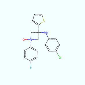 [O-][N+]1(c2ccc(F)cc2)CC(Nc2ccc(Cl)cc2)(c2cccs2)C1